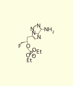 CCOP(=O)(CO[C@@H](CF)Cc1cnc2c(N)ncnn12)OCC